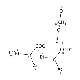 CCC(C(C)=O)C(=O)[O-].CCC(C(C)=O)C(=O)[O-].C[O-].C[O-].[Ti+4]